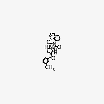 Cc1cccc(C(=O)N2C[C@@H]3C[C@H]2[C@H]2C(=O)N(c4cccc5ccccc45)C(=O)N32)c1